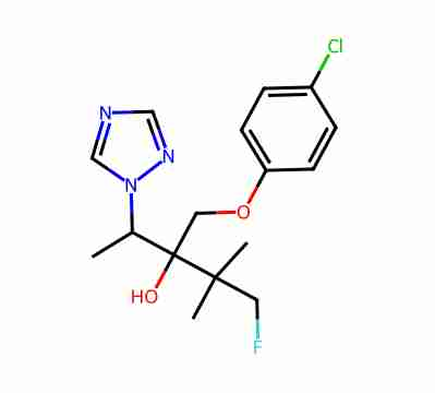 CC(n1cncn1)C(O)(COc1ccc(Cl)cc1)C(C)(C)CF